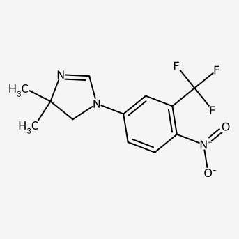 CC1(C)CN(c2ccc([N+](=O)[O-])c(C(F)(F)F)c2)C=N1